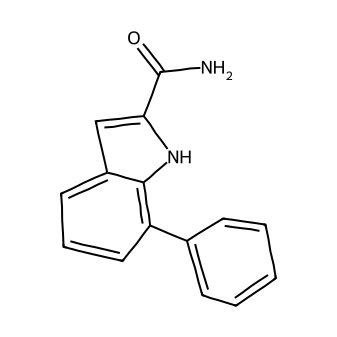 NC(=O)c1cc2cccc(-c3ccccc3)c2[nH]1